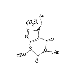 CCCCn1c(=O)c2c(nc(C(=O)OCC)n2CC(C)=O)n(CCCC)c1=O